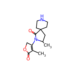 CC1=C(N2C(=O)C3(CCNCC3)CC2C)COC1=O